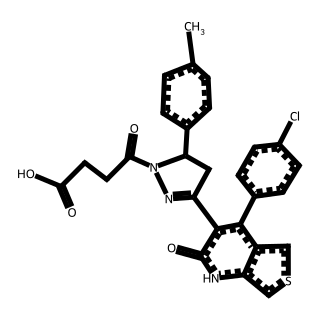 Cc1ccc(C2CC(c3c(-c4ccc(Cl)cc4)c4cscc4[nH]c3=O)=NN2C(=O)CCC(=O)O)cc1